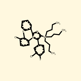 CCC[CH2][Sn]([CH2]CCC)([CH2]CCC)[c]1nc(-c2ccccc2)n(-c2cccc(Cl)c2F)c1-c1ccc(F)c(Cl)c1